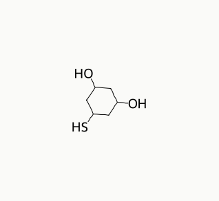 OC1CC(O)CC(S)C1